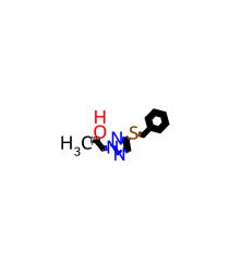 C[C@@H](O)Cn1ncc(SCc2ccccc2)n1